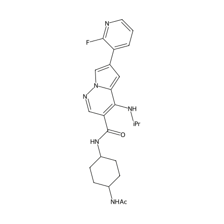 CC(=O)NC1CCC(NC(=O)c2cnn3cc(-c4cccnc4F)cc3c2NC(C)C)CC1